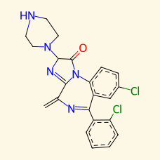 C=C1N=C(c2ccccc2Cl)c2cc(Cl)ccc2N2C(=O)C(N3CCNCC3)N=C12